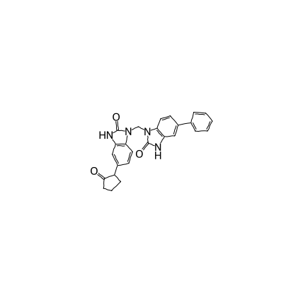 O=C1CCCC1c1ccc2c(c1)[nH]c(=O)n2Cn1c(=O)[nH]c2cc(-c3ccccc3)ccc21